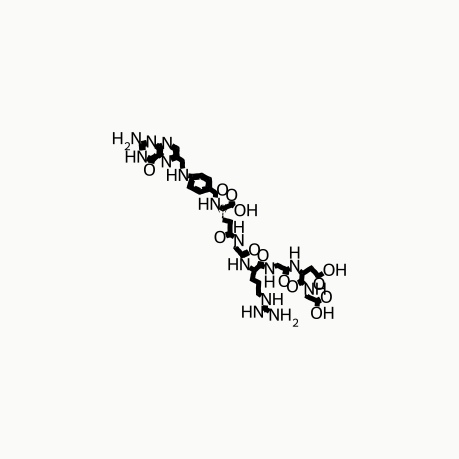 N=C(N)NCCCC(NC(=O)CNC(=O)CC[C@H](NC(=O)c1ccc(NCc2cnc3nc(N)[nH]c(=O)c3n2)cc1)C(=O)O)C(=O)NCC(=O)NC(CC(=O)O)C(=O)NCC(=O)O